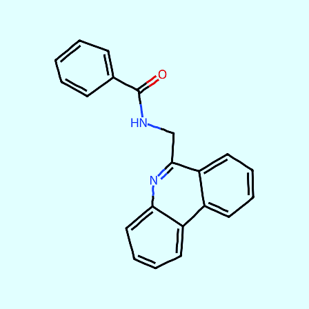 O=C(NCc1nc2ccccc2c2ccccc12)c1ccccc1